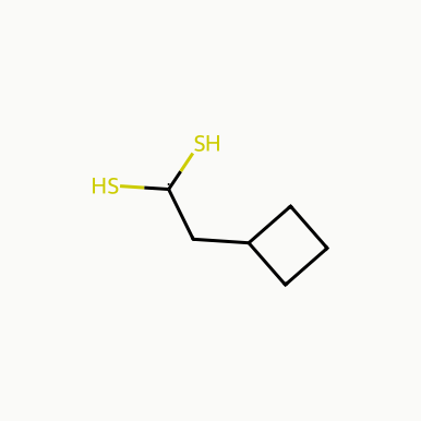 S[C](S)CC1CCC1